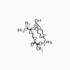 C=C(C)C(=O)OCCOC(=O)C(=C)C.OCCO.OCCOCCOCCO